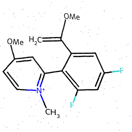 C=C(OC)c1cc(F)cc(F)c1-c1cc(OC)cc[n+]1C